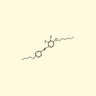 CCCCCCOc1ccc(C#Cc2ccc(CCCCC)cc2)c(F)c1F